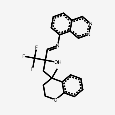 CC1(CC(O)(C=Nc2cccc3cnncc23)C(F)(F)F)CCOc2ccccc21